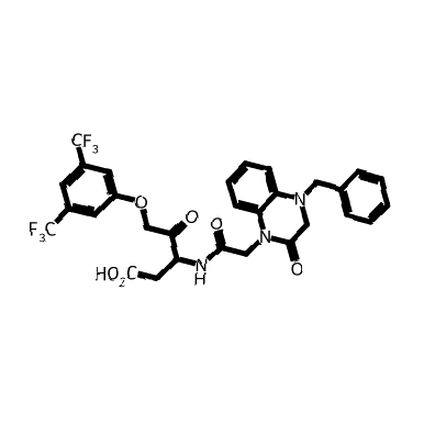 O=C(O)CC(NC(=O)CN1C(=O)CN(Cc2ccccc2)c2ccccc21)C(=O)COc1cc(C(F)(F)F)cc(C(F)(F)F)c1